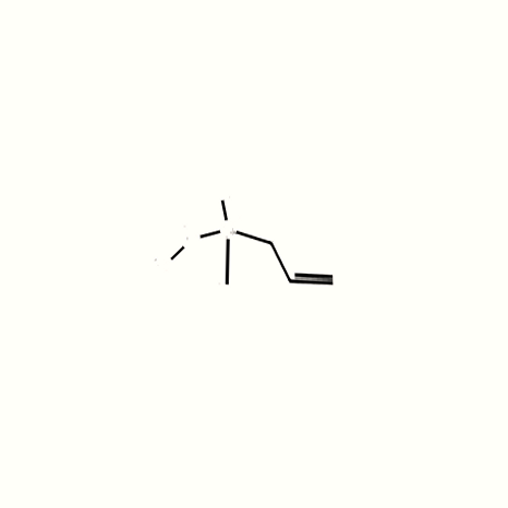 C=CC[Si](C)(C)OC(C)=O